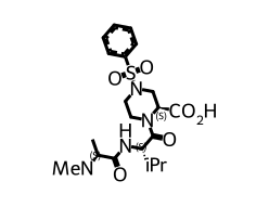 CN[C@@H](C)C(=O)N[C@H](C(=O)N1CCN(S(=O)(=O)c2ccccc2)C[C@H]1C(=O)O)C(C)C